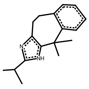 CC(C)c1nc2c([nH]1)C(C)(C)c1ccccc1CC2